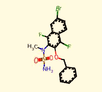 CN(c1c(OCc2ccccc2)c(F)c2ccc(Br)cc2c1F)S(N)(=O)=O